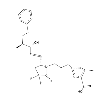 Cc1cc(CCCN2C(=O)C(F)(F)C[C@@H]2C=C[C@@H](O)[C@@H](C)CCc2ccccc2)sc1C(=O)O